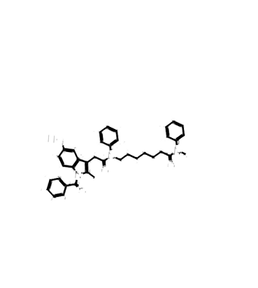 Cc1c(CC(=O)N(CCCCCCC(=O)N(C)c2ccccc2)c2ccccc2)c2cc(O)ccc2n1C(=O)c1ccccc1